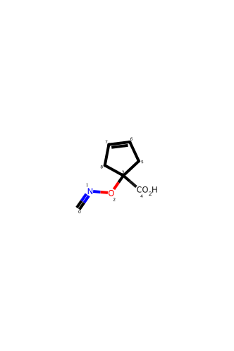 C=NOC1(C(=O)O)CC=CC1